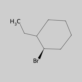 CCC1CCCC[C@H]1Br